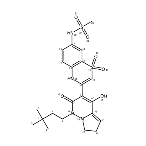 CC(C)(C)CCN1C(=O)C(C2=CS(=O)(=O)c3cc(NS(C)(=O)=O)ccc3N2)=C(O)C2=CCCN21